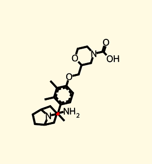 Cc1c(OCC2CN(C(=O)O)CCO2)ccc(C(C)N2C3CCC2CC(N)C3)c1C